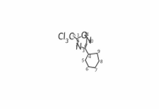 ClC(Cl)(Cl)c1nc(C2CCCCC2)no1